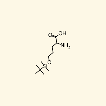 CC(C)(C)[Si](C)(C)OCCCC(N)C(=O)O